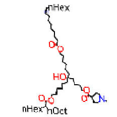 CCCCCC/C=C\CCCCCCCC(=O)OCCCCCCC(O)(CCCCCCOC(=O)C(CCCCCC)CCCCCCCC)CCCCOC(=O)C1CCN(C)CC1